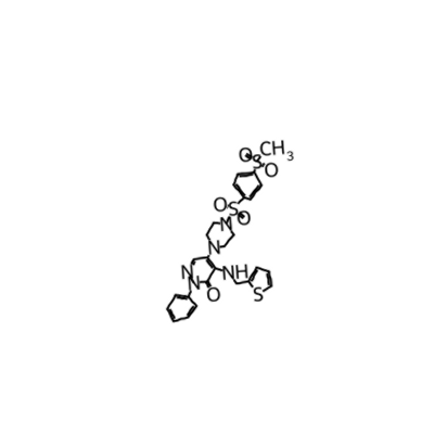 CS(=O)(=O)c1ccc(S(=O)(=O)N2CCN(c3cnn(-c4ccccc4)c(=O)c3NCc3cccs3)CC2)cc1